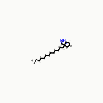 CCCCCCCCCCCCC1(CN)CCCC1